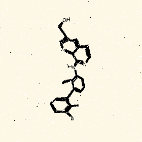 Cc1c(Br)cccc1-c1cccc(Nc2nccc3cc(CO)cnc23)c1C